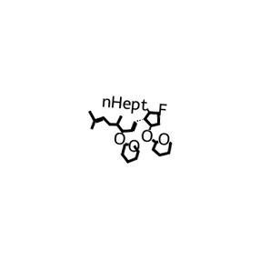 CCCCCCC[C@@H]1[C@@H](/C=C/[C@@H](OC2CCCCO2)C(C)CC=C(C)C)[C@H](OC2CCCCO2)C[C@H]1F